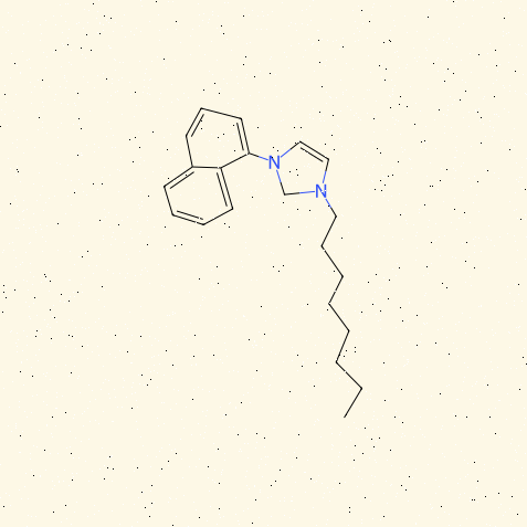 CCCCCCCCN1C=CN(c2cccc3ccccc23)C1